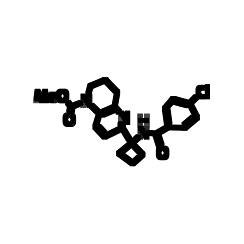 COC(=O)N1CCCc2nc(C3(NC(=O)c4ccc(Cl)cc4)CCC3)ccc21